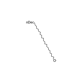 CCCCCCCCCCCCCCCCCCCCCCCCCCCCCCCCCC[O]